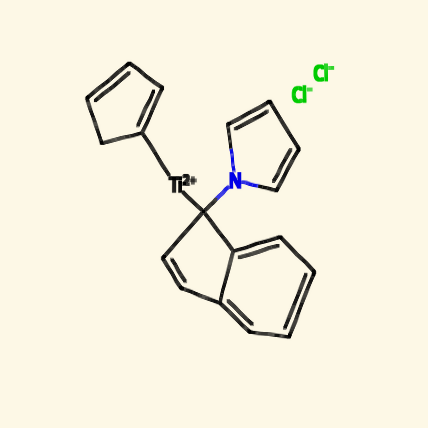 C1=CC[C]([Ti+2][C]2(n3cccc3)C=Cc3ccccc32)=C1.[Cl-].[Cl-]